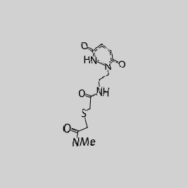 CNC(=O)CSCC(=O)NCCn1[nH]c(=O)ccc1=O